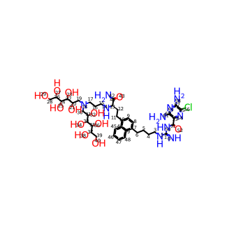 N=C(NCCCCc1ccc(CC[C@@H](NCCCN(C[C@@H](O)[C@H](O)[C@@H](O)[C@@H](O)CO)C[C@@H](O)[C@H](O)[C@@H](O)[C@@H](O)CO)C(N)=O)c2ccccc12)NC(=O)c1nc(Cl)c(N)nc1N